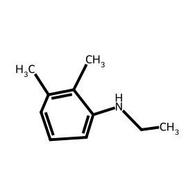 CCNc1cccc(C)c1C